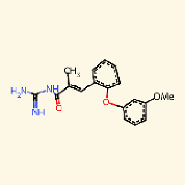 COc1cccc(Oc2ccccc2/C=C(\C)C(=O)NC(=N)N)c1